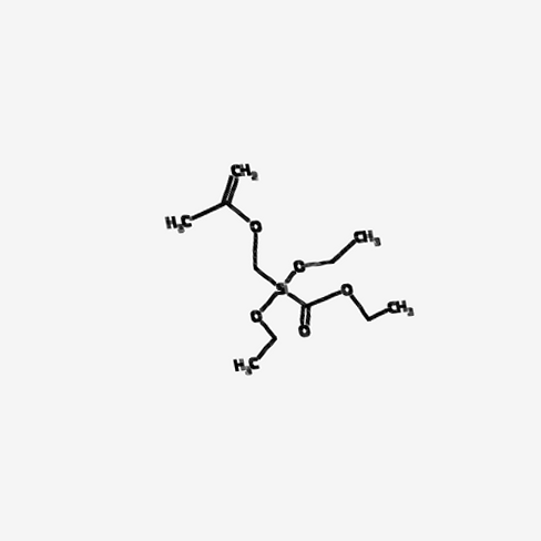 C=C(C)OC[Si](OCC)(OCC)C(=O)OCC